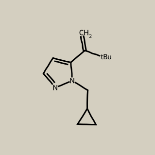 C=C(c1ccnn1CC1CC1)C(C)(C)C